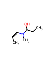 C/C=C\N(C)B(O)CC